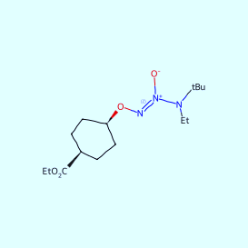 CCOC(=O)[C@H]1CC[C@@H](O/N=[N+](\[O-])N(CC)C(C)(C)C)CC1